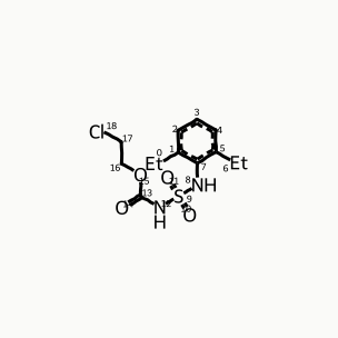 CCc1cccc(CC)c1NS(=O)(=O)NC(=O)OCCCl